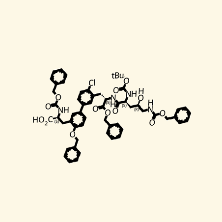 CC(C)(C)OC(=O)N[C@@H](C[C@@H](O)CNC(=O)OCc1ccccc1)C(=O)N[C@@H](Cc1cc(-c2ccc(OCc3ccccc3)c(C[C@H](NC(=O)OCc3ccccc3)C(=O)O)c2)ccc1Cl)C(=O)OCc1ccccc1